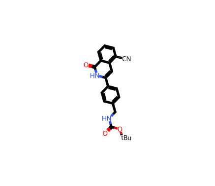 CC(C)(C)OC(=O)NCc1ccc(-c2cc3c(C#N)cccc3c(=O)[nH]2)cc1